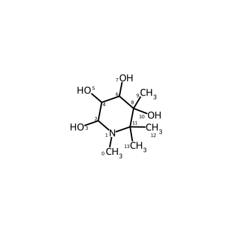 CN1C(O)C(O)C(O)C(C)(O)C1(C)C